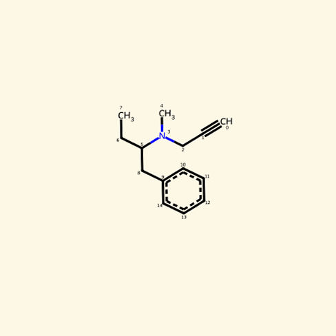 C#CCN(C)C(CC)Cc1ccccc1